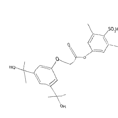 Cc1cc(OC(=O)COc2cc(C(C)(C)O)cc(C(C)(C)O)c2)cc(C)c1S(=O)(=O)O